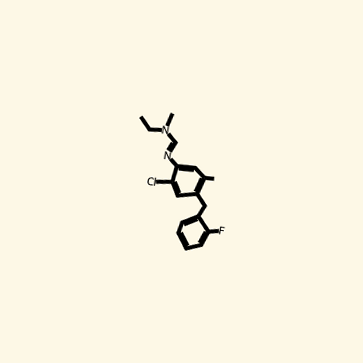 CCN(C)C=Nc1cc(C)c(Cc2ccccc2F)cc1Cl